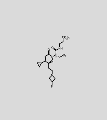 CC(C)C[C@@H](C(=O)NCCC(=O)O)n1nc(CCN2CC(F)C2)c(C2CC2)cc1=O